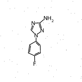 Nc1ncn(-c2ccc(F)cc2)n1